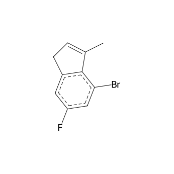 CC1=CCc2cc(F)cc(Br)c21